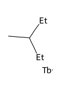 CCC(C)CC.[Tb]